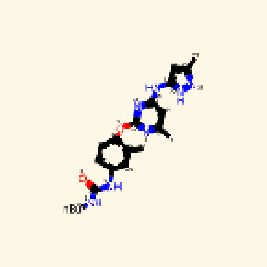 CCCCNC(=O)Nc1ccc(Oc2nc(C)cc(Nc3cc(C)n[nH]3)n2)c(C)c1